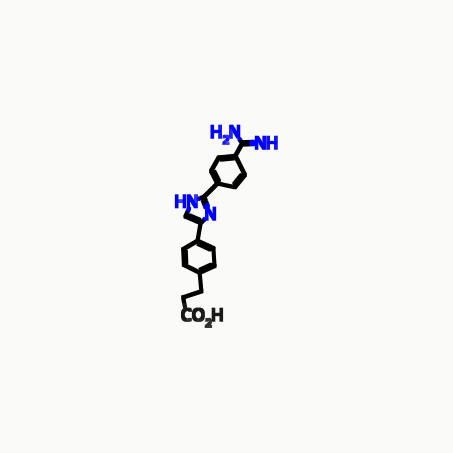 N=C(N)c1ccc(-c2nc(-c3ccc(CCC(=O)O)cc3)c[nH]2)cc1